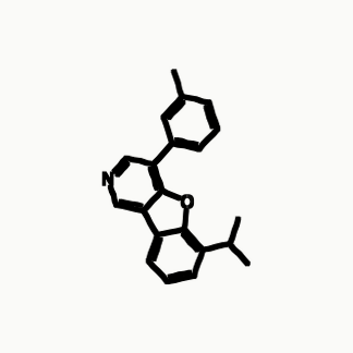 Cc1cccc(-c2cncc3c2oc2c(C(C)C)cccc23)c1